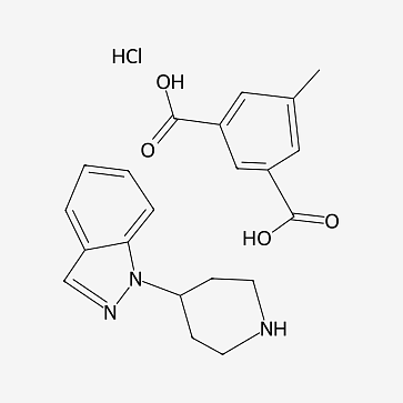 Cc1cc(C(=O)O)cc(C(=O)O)c1.Cl.c1ccc2c(c1)cnn2C1CCNCC1